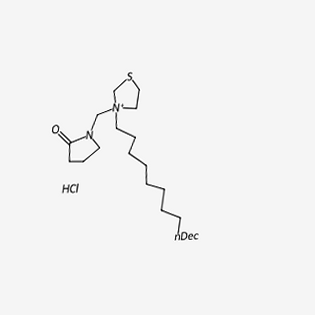 CCCCCCCCCCCCCCCCCC[N+]1(CN2CCCC2=O)CCSC1.Cl